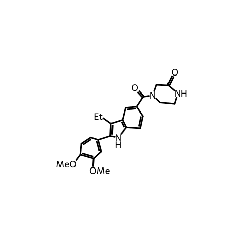 CCc1c(-c2ccc(OC)c(OC)c2)[nH]c2ccc(C(=O)N3CCNC(=O)C3)cc12